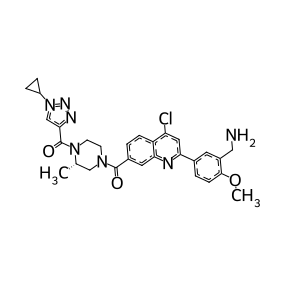 COc1ccc(-c2cc(Cl)c3ccc(C(=O)N4CCN(C(=O)c5cn(C6CC6)nn5)[C@@H](C)C4)cc3n2)cc1CN